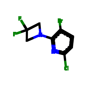 FC1(F)CN(c2nc(Cl)ccc2Br)C1